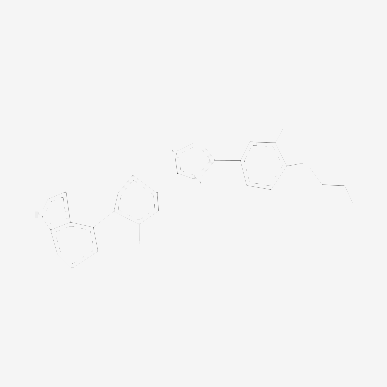 FCCOc1ccc(-c2nc(-c3ccc(-c4cccc5[nH]ccc45)c(F)c3)no2)cc1C(F)(F)F